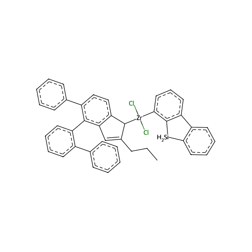 CCCC1=Cc2c(ccc(-c3ccccc3)c2-c2ccccc2-c2ccccc2)[CH]1[Zr]([Cl])([Cl])[c]1cccc2c1[SiH2]c1ccccc1-2